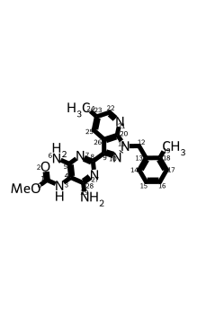 COC(=O)Nc1c(N)nc(-c2nn(Cc3ccccc3C)c3ncc(C)cc23)nc1N